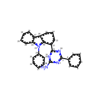 Nc1nc(-c2ccccc2)nc(-c2cccc3c4ccccc4n(-c4ccccc4)c23)n1